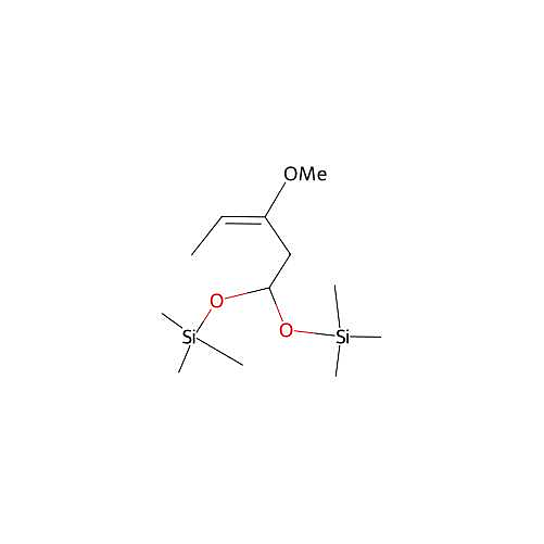 CC=C(CC(O[Si](C)(C)C)O[Si](C)(C)C)OC